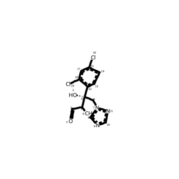 CC(C=O)[C@](O)(Cn1cncn1)c1ccc(Cl)cc1Cl